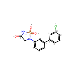 O=C1CN(c2cccc(-c3cccc(Cl)c3)c2)S(=O)(=O)N1